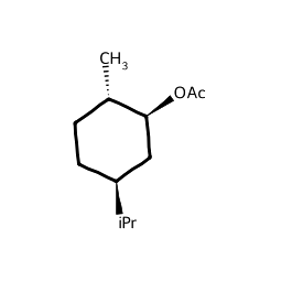 CC(=O)O[C@H]1C[C@@H](C(C)C)CC[C@@H]1C